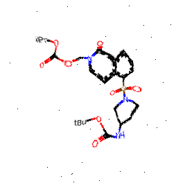 CC(C)OC(=O)OCn1ccc2c(S(=O)(=O)N3CCC(NC(=O)OC(C)(C)C)C3)cccc2c1=O